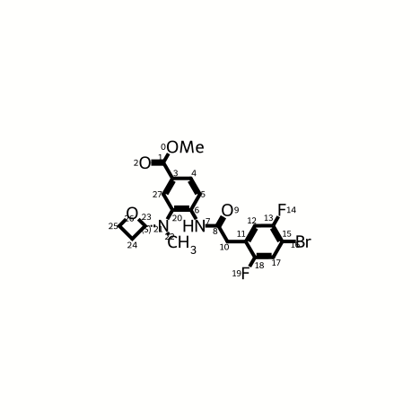 COC(=O)c1ccc(NC(=O)Cc2cc(F)c(Br)cc2F)c(N(C)[C@@H]2CCO2)c1